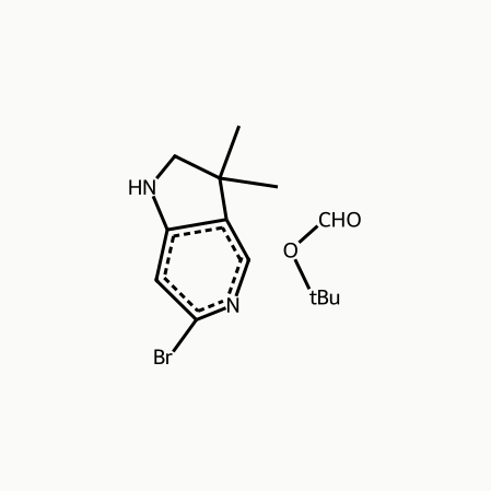 CC(C)(C)OC=O.CC1(C)CNc2cc(Br)ncc21